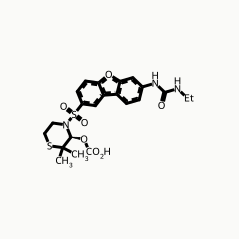 CCNC(=O)Nc1ccc2c(c1)oc1ccc(S(=O)(=O)N3CCSC(C)(C)[C@@H]3OC(=O)O)cc12